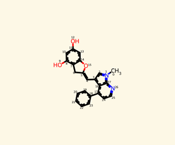 Cn1cc(C=C2Cc3c(O)cc(O)cc3O2)c2c(-c3ccccc3)ccnc21